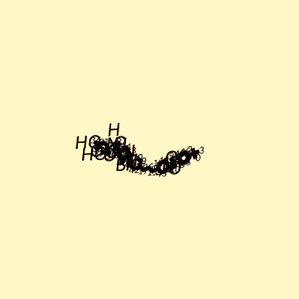 CC(C)(C)c1ccc(S(=O)(=O)N2CCC(CCCC3CCN(c4ncc(S(=O)(=O)NC(CC(=O)O)C(=O)O)cc4Br)CC3)CC2)cc1